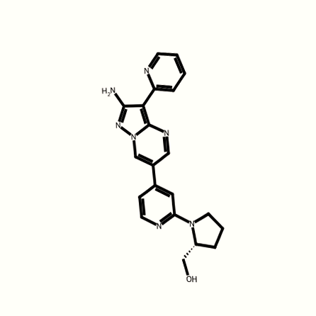 Nc1nn2cc(-c3ccnc(N4CCC[C@@H]4CO)c3)cnc2c1-c1ccccn1